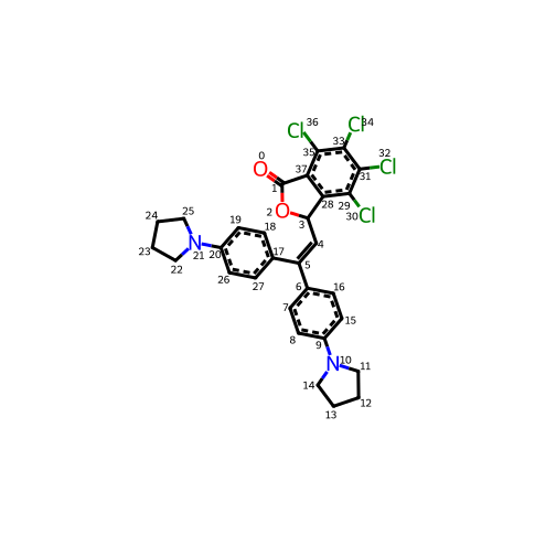 O=C1OC(C=C(c2ccc(N3CCCC3)cc2)c2ccc(N3CCCC3)cc2)c2c(Cl)c(Cl)c(Cl)c(Cl)c21